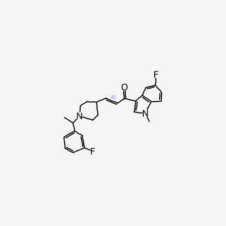 CC(c1cccc(F)c1)N1CCC(/C=C/C(=O)c2cn(C)c3ccc(F)cc23)CC1